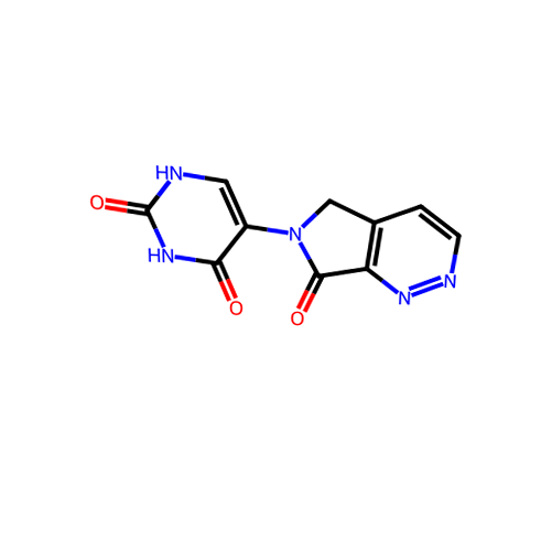 O=C1c2nnccc2CN1c1c[nH]c(=O)[nH]c1=O